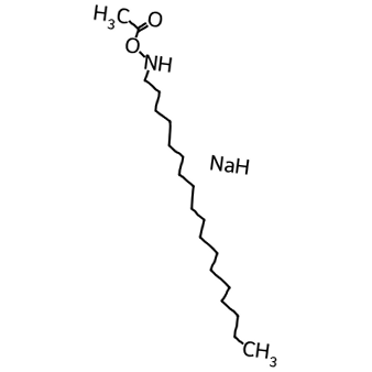 CCCCCCCCCCCCCCCCCCNOC(C)=O.[NaH]